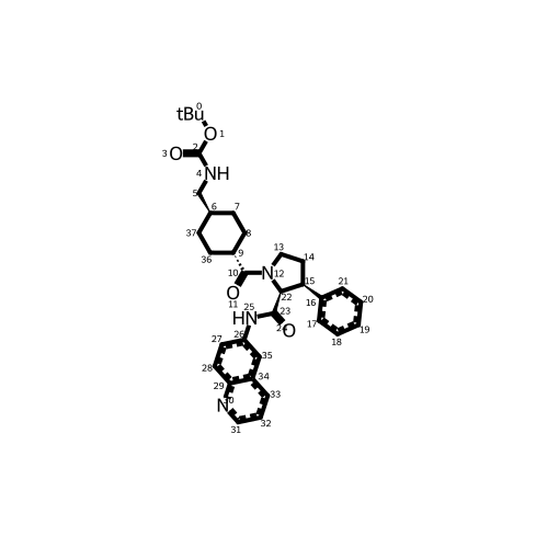 CC(C)(C)OC(=O)NC[C@H]1CC[C@H](C(=O)N2CC[C@@H](c3ccccc3)[C@H]2C(=O)Nc2ccc3ncccc3c2)CC1